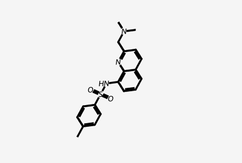 Cc1ccc(S(=O)(=O)Nc2cccc3ccc(CN(C)C)nc23)cc1